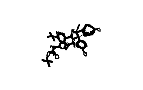 CCOc1cc(C(C)(C)C)ncc1C1=N[C@](C)(c2ccc(Cl)cc2)[C@@](C)(c2ccc(Cl)cc2)N1C(=O)N1CCC(NC(=O)OC(C)(C)C)CC1